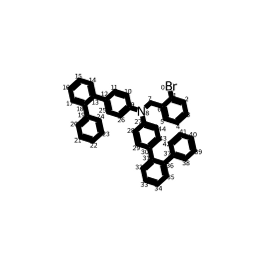 Brc1ccccc1CN(c1ccc(-c2ccccc2-c2ccccc2)cc1)c1ccc(-c2ccccc2-c2ccccc2)cc1